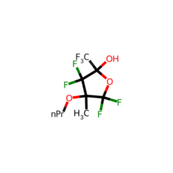 CCCOC1(C)C(F)(F)OC(O)(C(F)(F)F)C1(F)F